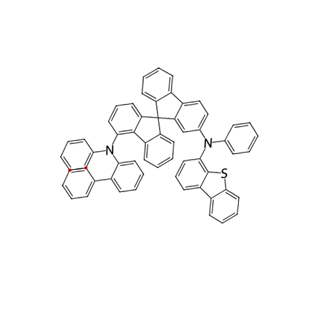 c1ccc(-c2ccccc2N(c2ccccc2)c2cccc3c2-c2ccccc2C32c3ccccc3-c3ccc(N(c4ccccc4)c4cccc5c4sc4ccccc45)cc32)cc1